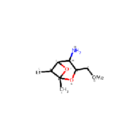 CCC1C2OC1(C)OC(COC)C2N